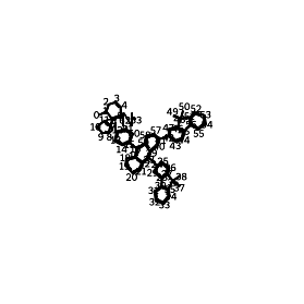 CC1CC=CC2=C1[Si]1(CCCC1)c1ccc(-c3c4ccccc4c(-c4ccc5c(c4)-c4ccccc4C5(C)C)c4cc(-c5ccc6c(c5)C(C)(C)c5ccccc5-6)ccc34)cc1N2C